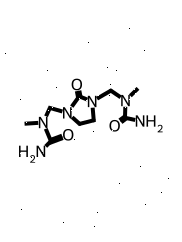 CN(CN1CCN(CN(C)C(N)=O)C1=O)C(N)=O